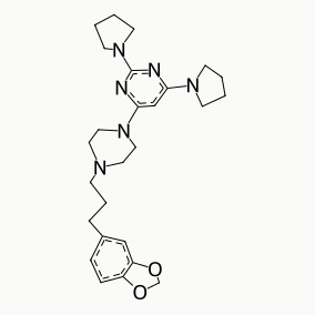 c1cc2c(cc1CCCN1CCN(c3cc(N4CCCC4)nc(N4CCCC4)n3)CC1)OCO2